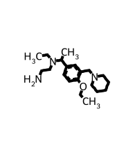 CCOc1ccc(C(C)N(CC)CCN)cc1CN1CCCCC1